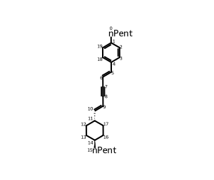 CCCCCc1ccc(C=CC#CC=C[C@H]2CC[C@H](CCCCC)CC2)cc1